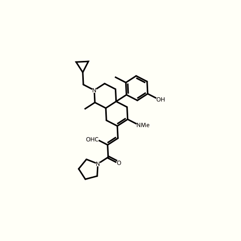 CNC1=C(/C=C(\C=O)C(=O)N2CCCC2)CC2C(C)N(CC3CC3)CCC2(c2cc(O)ccc2C)C1